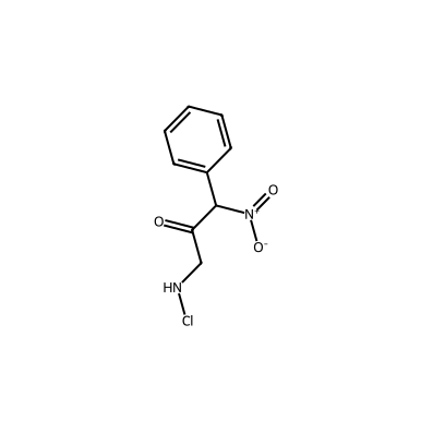 O=C(CNCl)C(c1ccccc1)[N+](=O)[O-]